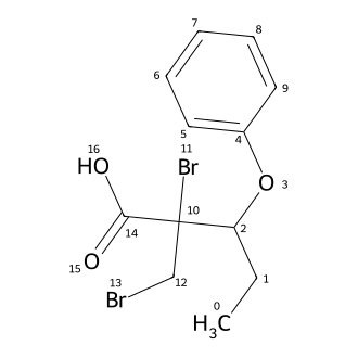 CCC(Oc1ccccc1)C(Br)(CBr)C(=O)O